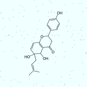 CC(C)=CCC1(O)C=CC2=C(C(=O)CC(c3ccc(O)cc3)O2)C1O